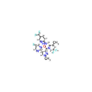 C[C@@H]1CC(F)(F)CN(C(=O)c2nn(C)cc2-c2ncc(F)cn2)[C@@H]1CNc1ccc(C(F)F)cn1